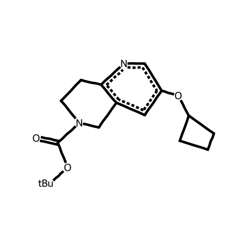 CC(C)(C)OC(=O)N1CCc2ncc(OC3CCC3)cc2C1